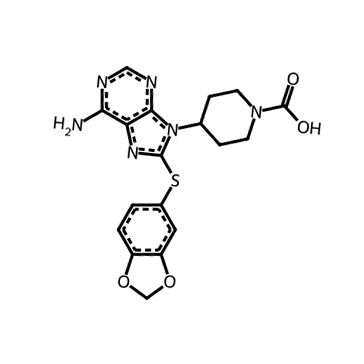 Nc1ncnc2c1nc(Sc1ccc3c(c1)OCO3)n2C1CCN(C(=O)O)CC1